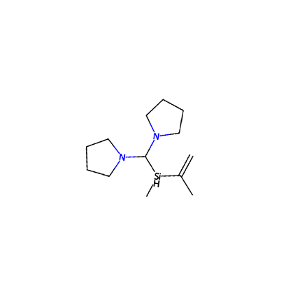 C=C(C)[SiH](C)C(N1CCCC1)N1CCCC1